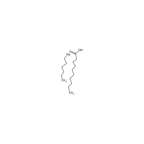 CCCCCCCCCC(=O)O.CCCCC[CH2][Na]